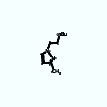 CCCCCCn1ccc(C)n1